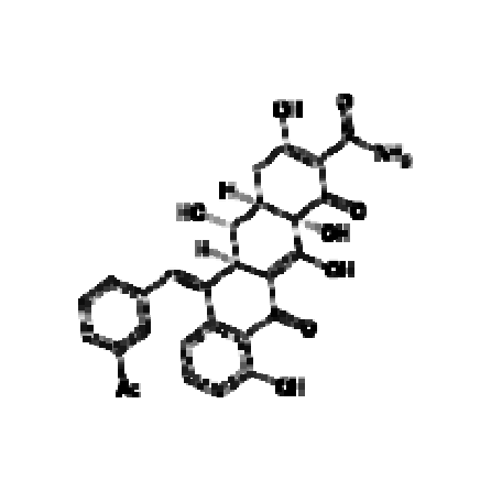 CC(=O)c1cccc(/C=C2\c3cccc(O)c3C(=O)C3=C(O)[C@]4(O)C(=O)C(C(N)=O)=C(O)C[C@@H]4[C@@H](O)[C@@H]32)c1